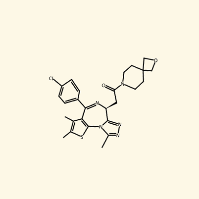 Cc1sc2c(c1C)C(c1ccc(Cl)cc1)=N[C@@H](CC(=O)N1CCC3(CC1)COC3)c1nnc(C)n1-2